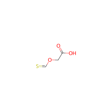 O=C(O)COC=S